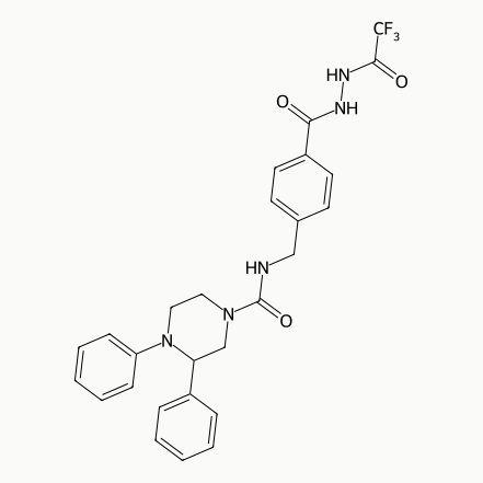 O=C(NNC(=O)C(F)(F)F)c1ccc(CNC(=O)N2CCN(c3ccccc3)C(c3ccccc3)C2)cc1